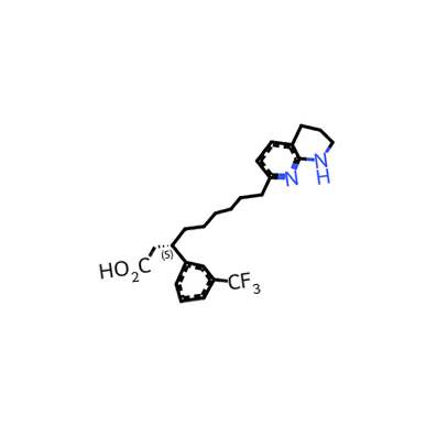 O=C(O)C[C@H](CCCCCCc1ccc2c(n1)NCCC2)c1cccc(C(F)(F)F)c1